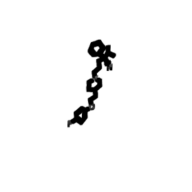 CC(C)C(C#N)(CCCN1CCC(CCOc2ccc(F)cc2)CC1)c1ccccc1